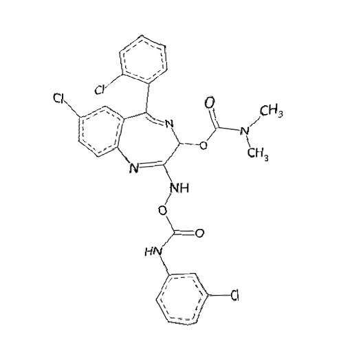 CN(C)C(=O)OC1N=C(c2ccccc2Cl)c2cc(Cl)ccc2N=C1NOC(=O)Nc1cccc(Cl)c1